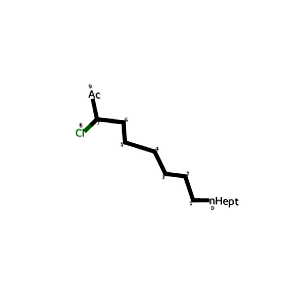 CCCCCCCCCCCCCC(Cl)C(C)=O